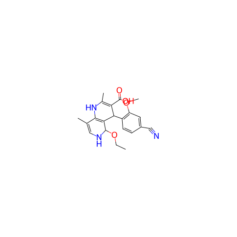 CCOC1NC=C(C)C2=C1C(c1ccc(C#N)cc1OC)C(C(=O)O)=C(C)N2